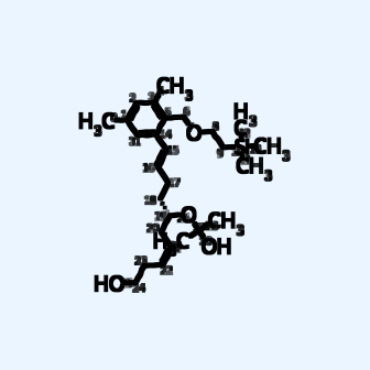 Cc1cc(C)c(COCC[Si](C)(C)C)c(/C=C/CC[C@@H](C/C=C\CCO)OC(C)(C)O)c1